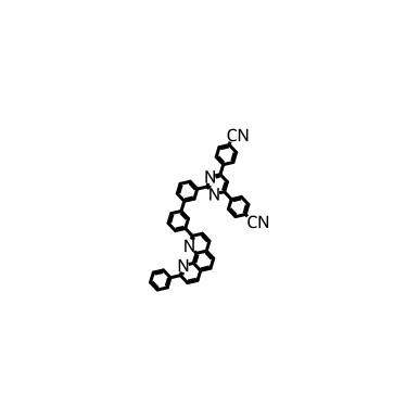 N#Cc1ccc(-c2cc(-c3ccc(C#N)cc3)nc(-c3cccc(-c4cccc(-c5ccc6ccc7ccc(-c8ccccc8)nc7c6n5)c4)c3)n2)cc1